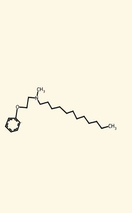 CCCCCCCCCCCCN(C)CCOc1[c]cccc1